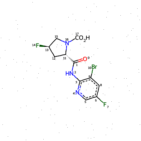 O=C(Nc1ncc(F)cc1Br)[C@@H]1C[C@@H](F)CN1C(=O)O